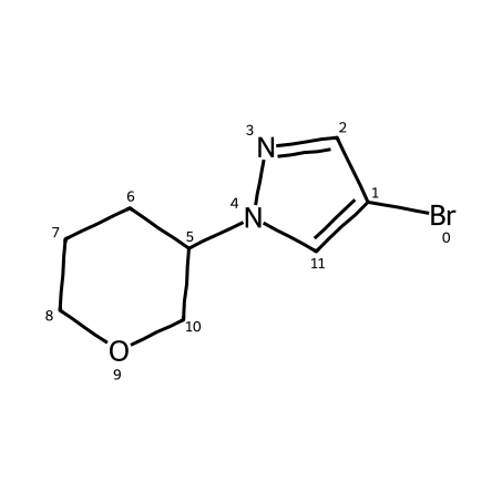 Brc1cnn(C2CCCOC2)c1